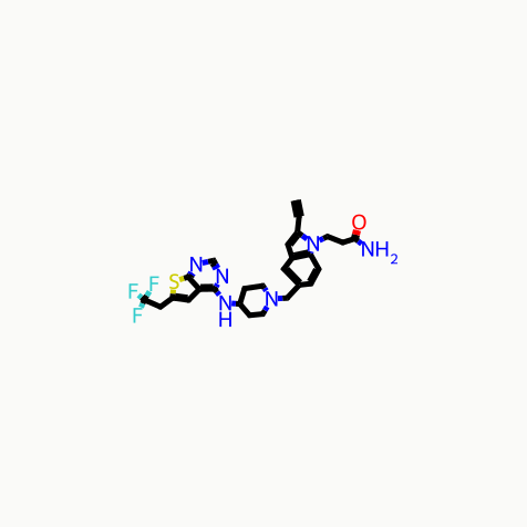 C#Cc1cc2cc(CN3CCC(Nc4ncnc5sc(CC(F)(F)F)cc45)CC3)ccc2n1CCC(N)=O